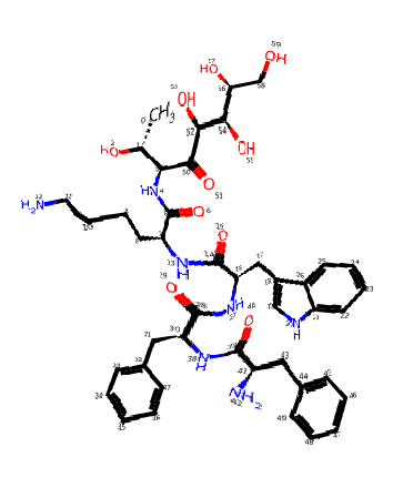 C[C@@H](O)[C@H](NC(=O)[C@H](CCCCN)NC(=O)[C@@H](Cc1c[nH]c2ccccc12)NC(=O)[C@H](Cc1ccccc1)NC(=O)[C@H](N)Cc1ccccc1)C(=O)C(O)[C@H](O)[C@@H](O)CO